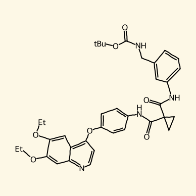 CCOc1cc2nccc(Oc3ccc(NC(=O)C4(C(=O)Nc5cccc(CNC(=O)OC(C)(C)C)c5)CC4)cc3)c2cc1OCC